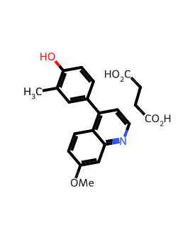 COc1ccc2c(-c3ccc(O)c(C)c3)ccnc2c1.O=C(O)CCC(=O)O